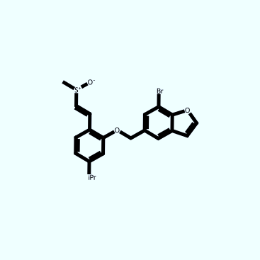 CC(C)c1ccc(C=C[S+](C)[O-])c(OCc2cc(Br)c3occc3c2)c1